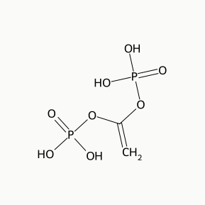 C=C(OP(=O)(O)O)OP(=O)(O)O